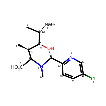 CN[C@@H](C)[C@H](O)[C@H](C)C(C(=O)O)N(C)Cc1ccc(Cl)cn1